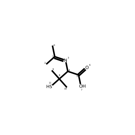 CC(C)=NC(C(=O)O)C(C)(C)S